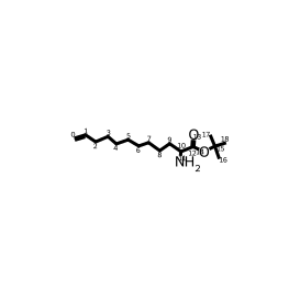 C=CCCCCCCCCC(N)C(=O)OC(C)(C)C